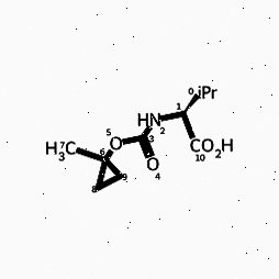 CC(C)[C@H](NC(=O)OC1(C)CC1)C(=O)O